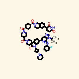 CC(C)n1cnc2cc(-c3ccc4c(c3)N([C@H]3C[C@@H](N5CCCCC5)C3)C(=O)C43CCN(C(=O)C4CCN(C(=O)[C@H]5CC[C@H](C(=O)N6CCc7cc(C8CCC(=O)NC8=O)ccc7C6)CC5)CC4)CC3)nc(Nc3ccccc3F)c21